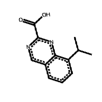 CC(C)c1cccc2cnc(C(=O)O)nc12